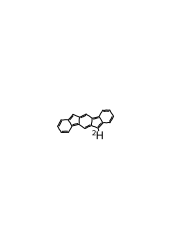 [2H]C1=c2ccccc2=c2cc3c(cc21)=c1ccccc1=C3